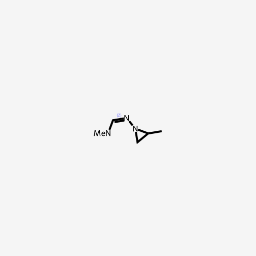 CN/C=N\N1CC1C